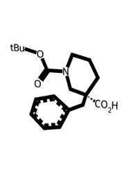 CC(C)(C)OC(=O)N1CCC[C@](Cc2ccccc2)(C(=O)O)C1